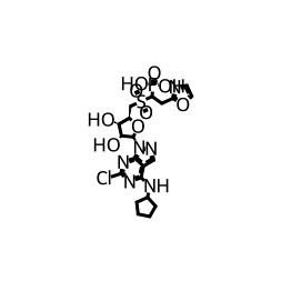 O=P(O)(O)C(Cc1ncco1)S(=O)(=O)C[C@H]1O[C@@H](n2ncc3c(NC4CCCC4)nc(Cl)nc32)[C@H](O)[C@@H]1O